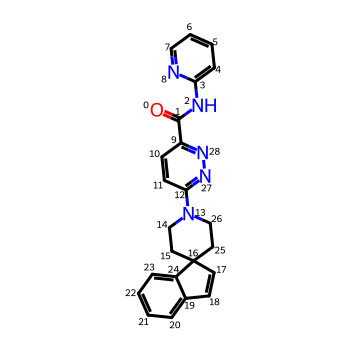 O=C(Nc1ccccn1)c1ccc(N2CCC3(C=Cc4ccccc43)CC2)nn1